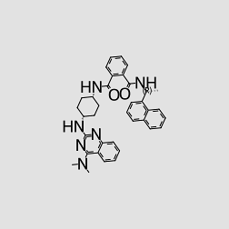 C[C@@H](NC(=O)c1ccccc1C(=O)N[C@H]1CC[C@@H](Nc2nc(N(C)C)c3ccccc3n2)CC1)c1cccc2ccccc12